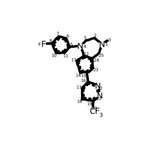 CN1CCN(c2ccc(F)cc2)c2ccc(-c3ccc(C(F)(F)F)nn3)cc2C1